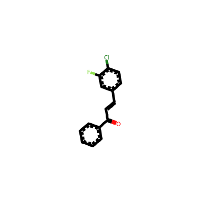 O=C(/C=C/c1ccc(Cl)c(F)c1)c1ccccc1